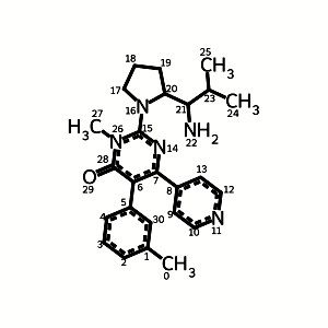 Cc1cccc(-c2c(-c3ccncc3)nc(N3CCCC3C(N)C(C)C)n(C)c2=O)c1